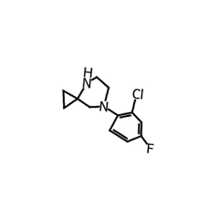 Fc1ccc(N2CCNC3(CC3)C2)c(Cl)c1